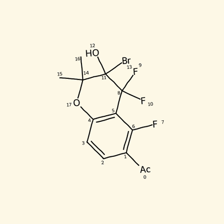 CC(=O)c1ccc2c(c1F)C(F)(F)C(O)(Br)C(C)(C)O2